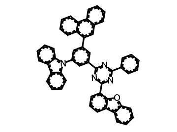 c1ccc(-c2nc(-c3cc(-c4cc5ccccc5c5ccccc45)cc(-n4c5ccccc5c5ccccc54)c3)nc(-c3cccc4c3oc3ccccc34)n2)cc1